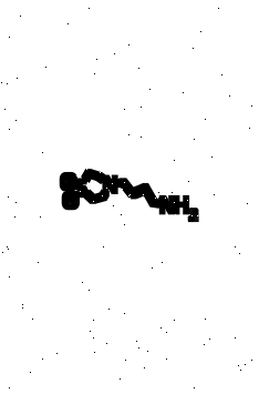 NCC=CCN1CCS(=O)(=O)CC1